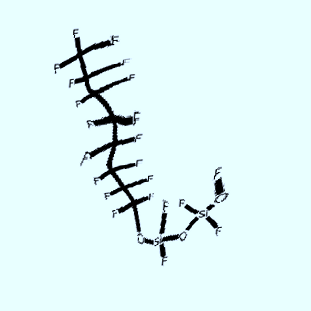 FO[Si](F)(F)O[Si](F)(F)OC(F)(F)C(F)(F)C(F)(F)C(F)(F)C(F)(F)C(F)(F)C(F)(F)C(F)(F)F